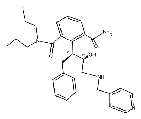 CCCN(CCC)C(=O)c1cccc(C(N)=O)c1[C@H](Cc1ccccc1)[C@@H](O)CNCc1ccncc1